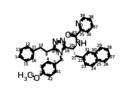 COc1ccc(Cn2c(CCc3ccccc3)nnc2[C@@H](Cc2ccc3ccccc3c2)NC(=O)c2ccccn2)cc1